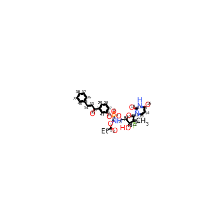 CCC(=O)ONP(=O)(OC[C@H]1O[C@@H](n2ccc(=O)[nH]c2=O)[C@](C)(F)[C@@H]1O)Oc1cccc(C(=O)C=Cc2ccccc2)c1